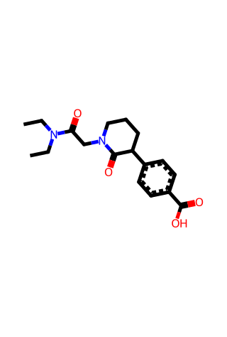 CCN(CC)C(=O)CN1CCCC(c2ccc(C(=O)O)cc2)C1=O